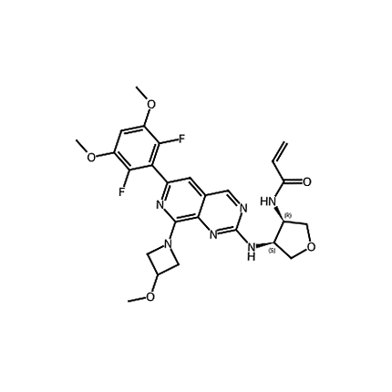 C=CC(=O)N[C@H]1COC[C@H]1Nc1ncc2cc(-c3c(F)c(OC)cc(OC)c3F)nc(N3CC(OC)C3)c2n1